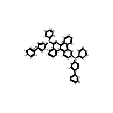 c1ccc(-c2ccc(N(c3ccccc3)c3ccc4c(c3)c3ccccc3c3cc(N(c5ccccc5)c5ccc(-c6ccccc6)cc5)c5ccccc5c43)cc2)cc1